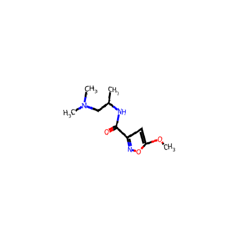 COc1cc(C(=O)NC(C)CN(C)C)no1